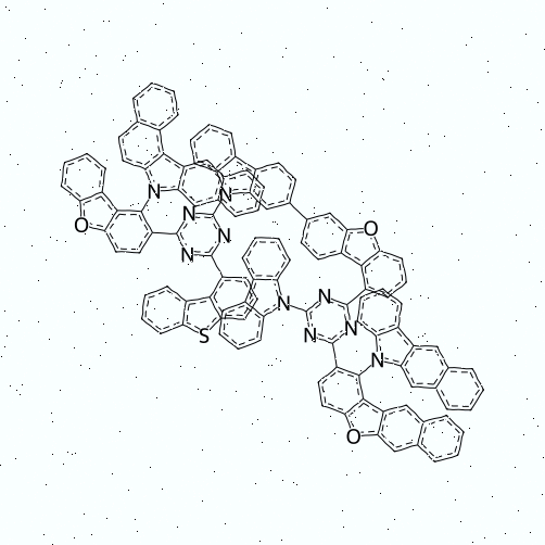 c1ccc2cc3c(cc2c1)oc1ccc(-c2nc(-c4cccc5oc6cc(-c7ccc8c9ccccc9n(-c9nc(-c%10ccc%11oc%12ccccc%12c%11c%10-n%10c%11cc%12ccccc%12cc%11c%11c%12ccccc%12ccc%11%10)nc(-c%10cccc%11sc%12ccccc%12c%10%11)n9)c8c7)ccc6c45)nc(-n4c5ccccc5c5ccccc54)n2)c(-n2c4ccccc4c4cc5ccccc5cc42)c13